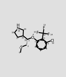 CSC[C@@H](Oc1cccc(Cl)c1C(F)(F)F)C1CCNC1